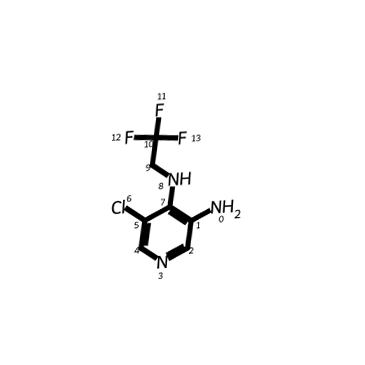 Nc1cncc(Cl)c1NCC(F)(F)F